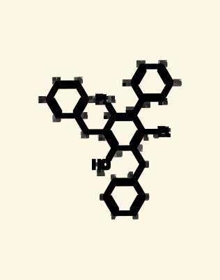 CCc1c(Cc2ccccc2)c(O)c(Cc2ccccc2)c(CC)c1-c1ccccc1